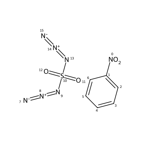 O=[N+]([O-])c1ccccc1.[N-]=[N+]=NS(=O)(=O)N=[N+]=[N-]